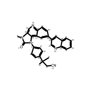 Cn1c(=O)n(-c2ccc(C(C)(C)CC#N)cc2)c2c3cc(-c4cnc5ccccc5c4)ccc3ncc21